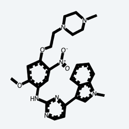 COc1cc(OCCN2CCN(C)CC2)c([N+](=O)[O-])cc1Nc1nccc(-c2cn(C)c3ccccc23)n1